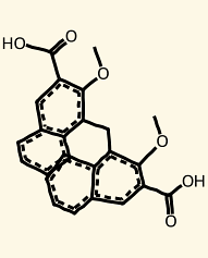 COc1c(C(=O)O)cc2ccccc2c1Cc1c(OC)c(C(=O)O)cc2ccccc12